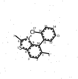 [CH2]c1ccc2sc(C)nc2c1-c1ccccc1Cl